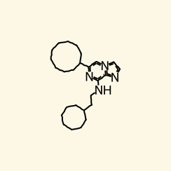 c1cn2cc(C3CCCCCCCCC3)nc(NCCC3CCCCCCC3)c2n1